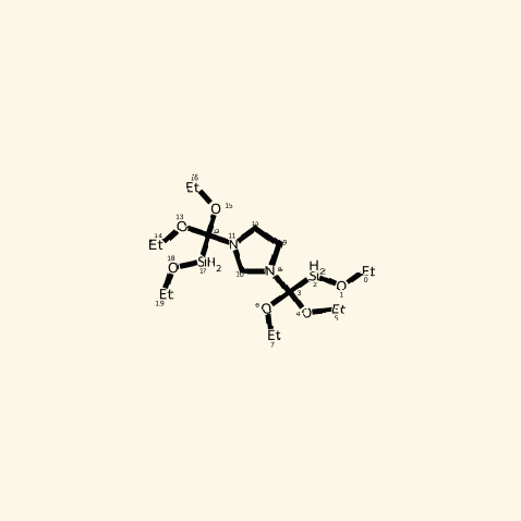 CCO[SiH2]C(OCC)(OCC)N1CCN(C(OCC)(OCC)[SiH2]OCC)C1